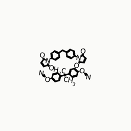 CC(C)(c1ccc(OC#N)cc1)c1ccc(OC#N)cc1.O=C1C=CC(=O)N1c1ccc(Cc2ccc(N3C(=O)C=CC3=O)cc2)cc1